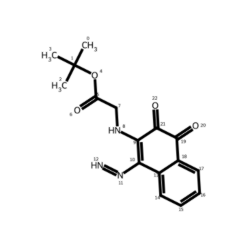 CC(C)(C)OC(=O)CNC1=C(N=N)c2ccccc2C(=O)C1=O